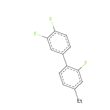 CCc1ccc(-c2ccc(F)c(F)c2)c(F)c1